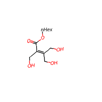 CCCCCCOC(=O)C(CO)=C(CO)CO